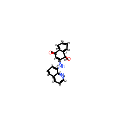 O=C1C=C(Nc2cccc3cccnc23)C(=O)c2ccccc21